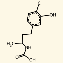 CC(CCc1ccc(Cl)c(O)c1)NC(=O)O